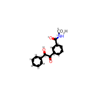 O=C(O)NC(=O)c1cccc(C(=O)C(=O)c2ccccc2)c1